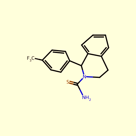 NC(=S)N1CCc2ccccc2C1c1ccc(C(F)(F)F)cc1